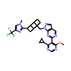 COc1ncnc(C2CC2)c1-c1ncc2cnn(CC34C5C6C3C3C4C5C63c3nc(C(F)(F)F)cn3C)c2n1